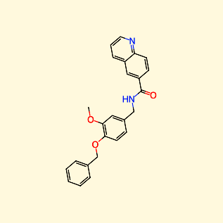 COc1cc(CNC(=O)c2ccc3ncccc3c2)ccc1OCc1ccccc1